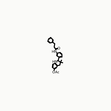 CC(=O)Oc1ccc2c(c1)CC(C)(C)C(c1cccc(NC(=O)CCc3ccccc3)c1)N2